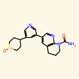 NC(=O)N1CCCc2cc(-c3cncc(C4CC[S+]([O-])CC4)c3)cnc21